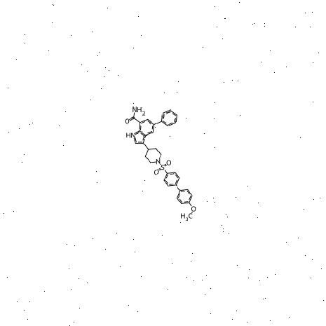 COc1ccc(-c2ccc(S(=O)(=O)N3CCC(c4c[nH]c5c(C(N)=O)cc(-c6ccccc6)cc45)CC3)cc2)cc1